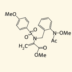 C=C(C(=O)OC)N(Cc1ccccc1N(OC)C(C)=O)S(=O)(=O)c1ccc(OC)cc1